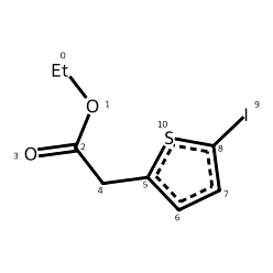 CCOC(=O)Cc1ccc(I)s1